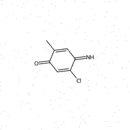 CC1=CC(=N)C(Cl)=CC1=O